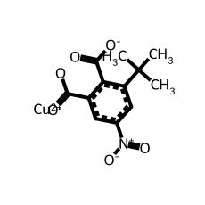 CC(C)(C)c1cc([N+](=O)[O-])cc(C(=O)[O-])c1C(=O)[O-].[Cu+2]